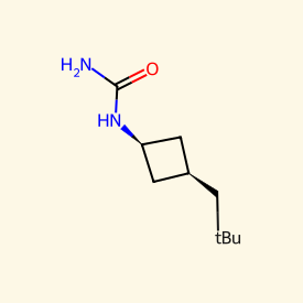 CC(C)(C)C[C@H]1C[C@@H](NC(N)=O)C1